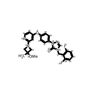 COC1(C)CN(c2cc(Oc3ccc(-n4ncn(Cc5c(F)cccc5F)c4=O)cc3)ccn2)C1